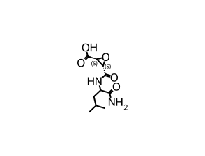 CC(C)CC(NC(=O)[C@H]1O[C@@H]1C(=O)O)C(N)=O